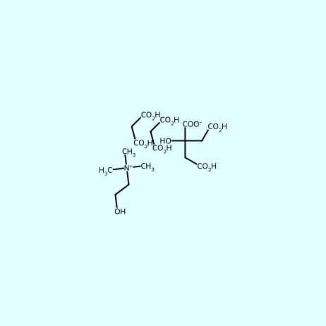 C[N+](C)(C)CCO.O=C(O)CC(=O)O.O=C(O)CC(=O)O.O=C(O)CC(O)(CC(=O)O)C(=O)[O-]